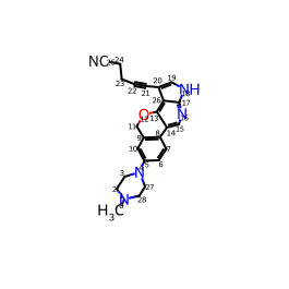 CN1CCN(c2ccc3c(c2)COc2c-3cnc3[nH]cc(C#CCCC#N)c23)CC1